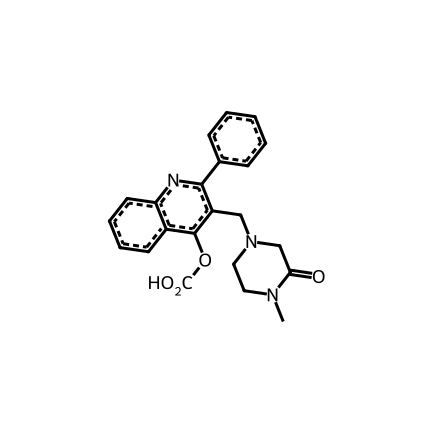 CN1CCN(Cc2c(-c3ccccc3)nc3ccccc3c2OC(=O)O)CC1=O